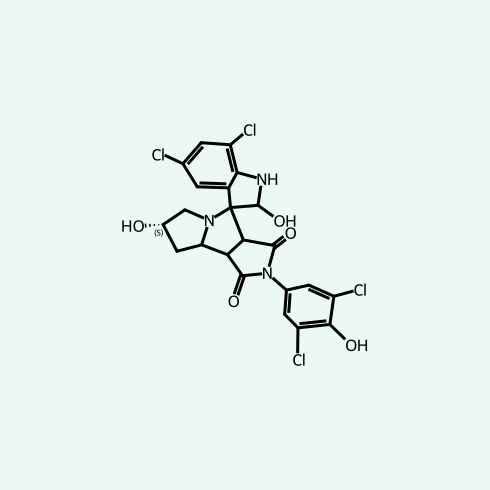 O=C1C2C3C[C@H](O)CN3C3(c4cc(Cl)cc(Cl)c4NC3O)C2C(=O)N1c1cc(Cl)c(O)c(Cl)c1